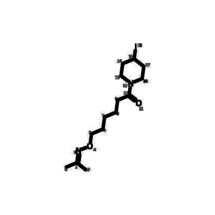 CC(C)=NOCCCCCC(=O)N1CCC(I)CC1